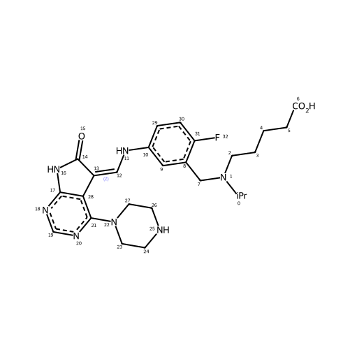 CC(C)N(CCCCC(=O)O)Cc1cc(N/C=C2\C(=O)Nc3ncnc(N4CCNCC4)c32)ccc1F